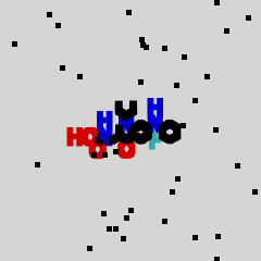 CCC(CC)n1cc(CNC(=O)O)c(=O)c2cc(F)c(NC3CCCCC3)cc21